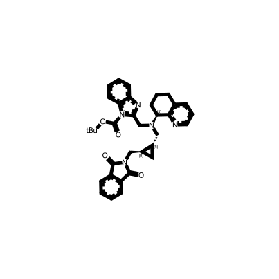 CC(C)(C)OC(=O)n1c(CN(C[C@@H]2C[C@H]2CN2C(=O)c3ccccc3C2=O)[C@H]2CCCc3cccnc32)nc2ccccc21